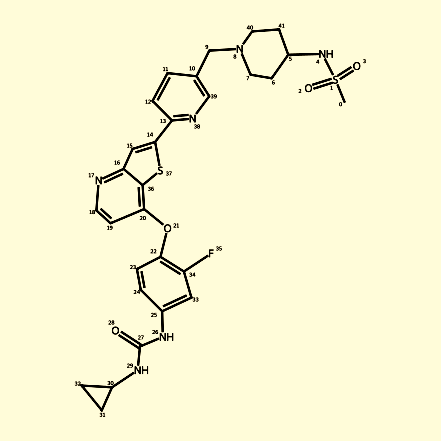 CS(=O)(=O)NC1CCN(Cc2ccc(-c3cc4nccc(Oc5ccc(NC(=O)NC6CC6)cc5F)c4s3)nc2)CC1